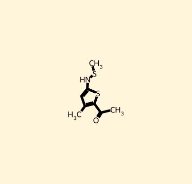 CSNc1cc(C)c(C(C)=O)s1